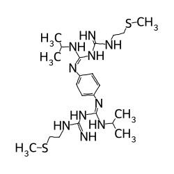 CSCCNC(=N)NC(=Nc1ccc(N=C(NC(=N)NCCSC)NC(C)C)cc1)NC(C)C